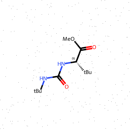 COC(=O)[C@@H](NC(=O)NC(C)(C)C)C(C)(C)C